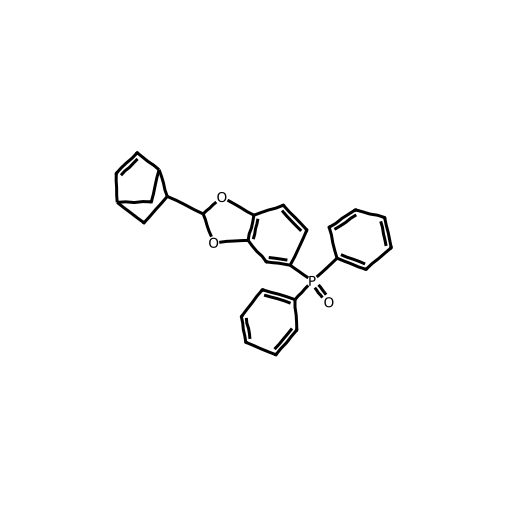 O=P(c1ccccc1)(c1ccccc1)c1ccc2c(c1)OC(C1CC3C=CC1C3)O2